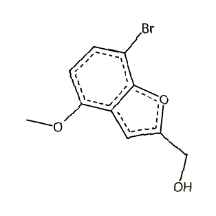 COc1ccc(Br)c2oc(CO)cc12